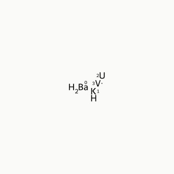 [BaH2].[KH].[U].[V]